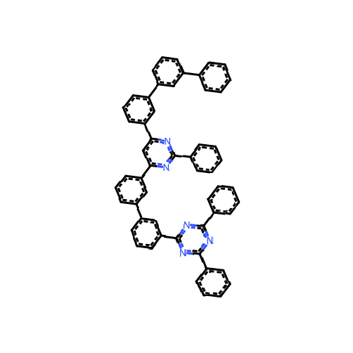 c1ccc(-c2cccc(-c3cccc(-c4cc(-c5cccc(-c6cccc(-c7nc(-c8ccccc8)nc(-c8ccccc8)n7)c6)c5)nc(-c5ccccc5)n4)c3)c2)cc1